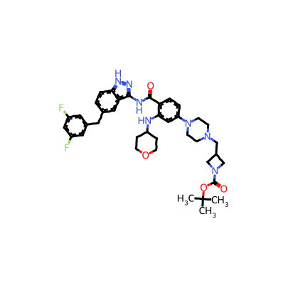 CC(C)(C)OC(=O)N1CC(CN2CCN(c3ccc(C(=O)Nc4n[nH]c5ccc(Cc6cc(F)cc(F)c6)cc45)c(NC4CCOCC4)c3)CC2)C1